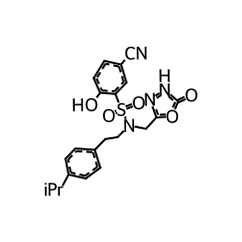 CC(C)c1ccc(CCN(Cc2n[nH]c(=O)o2)S(=O)(=O)c2cc(C#N)ccc2O)cc1